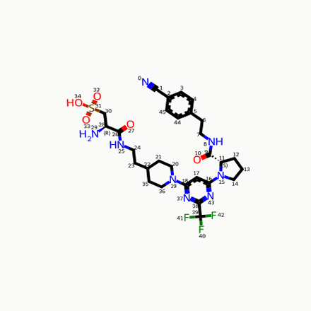 N#Cc1ccc(CCNC(=O)[C@@H]2CCCN2c2cc(N3CCC(CCNC(=O)[C@@H](N)CS(=O)(=O)O)CC3)nc(C(F)(F)F)n2)cc1